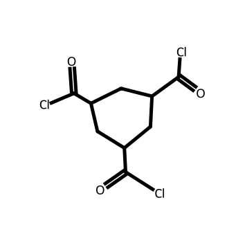 O=C(Cl)C1CC(C(=O)Cl)CC(C(=O)Cl)C1